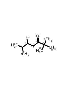 CC(C)C(F)CC(=O)C(C)(C)C